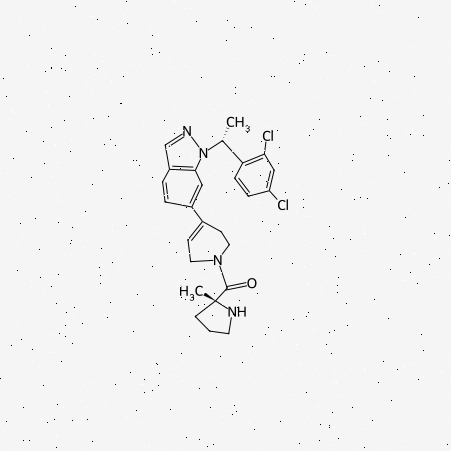 C[C@H](c1ccc(Cl)cc1Cl)n1ncc2ccc(C3=CCN(C(=O)[C@@]4(C)CCCN4)CC3)cc21